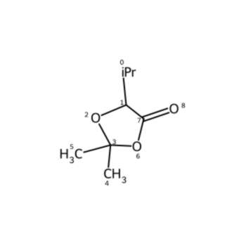 CC(C)C1OC(C)(C)OC1=O